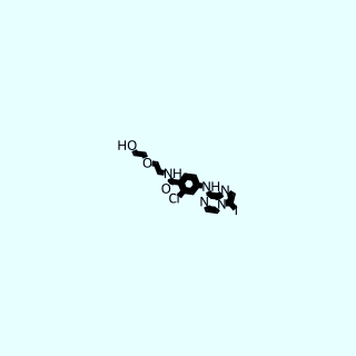 O=C(NCCOCCO)c1ccc(Nc2nccn3c(I)cnc23)cc1Cl